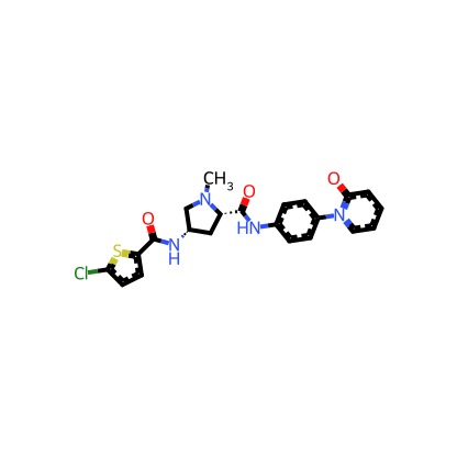 CN1C[C@@H](NC(=O)c2ccc(Cl)s2)C[C@H]1C(=O)Nc1ccc(-n2ccccc2=O)cc1